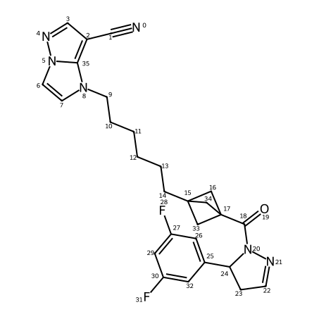 N#Cc1cnn2ccn(CCCCCCC34CC(C(=O)N5N=CCC5c5cc(F)cc(F)c5)(C3)C4)c12